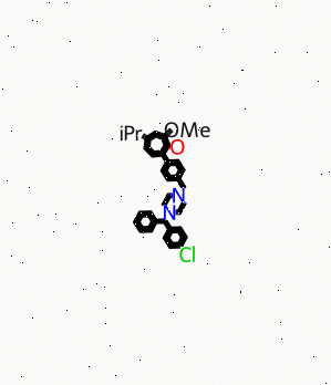 COc1cc(C(C)C)ccc(-c2ccc(CN3CCN(C(c4ccccc4)c4ccc(Cl)cc4)CC3)cc2)c1=O